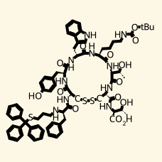 C[C@@H](O)[C@H](NC(=O)[C@@H]1CSSC[C@H](NC(=O)[C@@H](Cc2ccccc2)NCCCSC(c2ccccc2)(c2ccccc2)c2ccccc2)C(=O)N[C@@H](Cc2ccc(O)cc2)C(=O)N[C@H](Cc2c[nH]c3ccccc23)C(=O)N[C@@H](CCCCNC(=O)OC(C)(C)C)C(=O)N[C@@H]([C@@H](C)O)C(=O)N1)C(=O)O